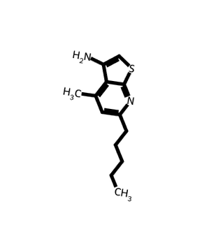 CCCCCc1cc(C)c2c(N)csc2n1